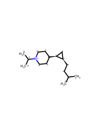 CC(C)CC[C@@H]1C[C@@H]1C1CCN(C(C)C)CC1